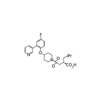 CC(C)C[C@H](CS(=O)(=O)N1CCC(Oc2ccc(F)cc2-c2cccnc2)CC1)C(=O)O